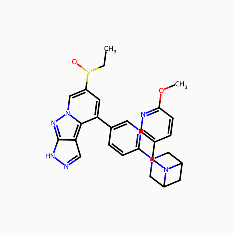 CC[S+]([O-])c1cc(-c2ccc(N3CC4CC(C3)N4Cc3ccc(OC)nc3)nc2)c2c3cn[nH]c3nn2c1